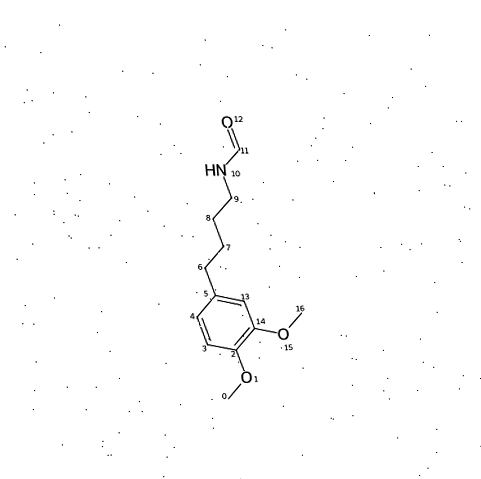 COc1ccc(CCCCNC=O)cc1OC